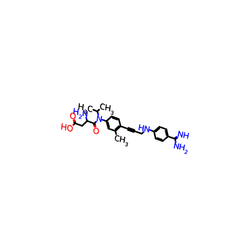 Cc1cc(N(C(=O)C(N)CC(=O)O)C(C)C)ccc1C#CCNc1ccc(C(=N)N)cc1